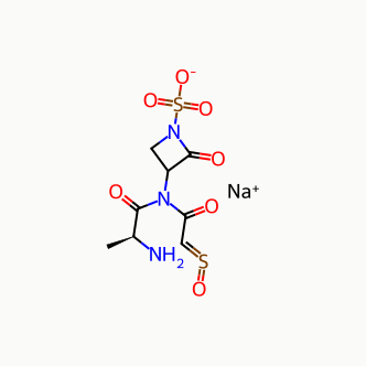 C[C@H](N)C(=O)N(C(=O)C=S=O)C1CN(S(=O)(=O)[O-])C1=O.[Na+]